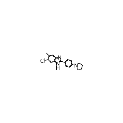 Cc1cc2nc(-c3ccc(N4CCCC4)cc3)[nH]c2cc1Cl